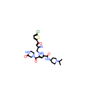 CC(C)N1CCC(NC(=O)c2cc(C(=O)N3CCNC(=O)C3)n(Cc3cc(-c4ccc(Cl)s4)on3)n2)CC1